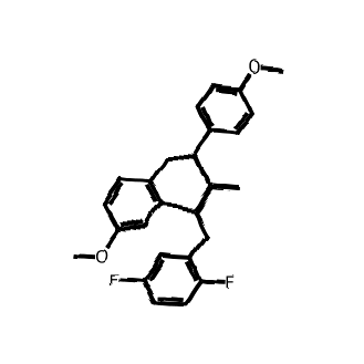 COc1ccc(C2Cc3ccc(OC)cc3C(Cc3cc(F)ccc3F)C2C)cc1